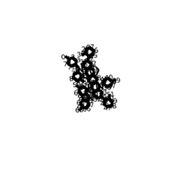 Cc1ccc(N2c3cccc(C)c3B3c4cc5c(cc4Oc4cc(-c6ccccc6C)cc2c43)N(c2ccc(C)cc2)c2cc(-c3ccccc3C)cc3c2B5c2cc(C)cc4c5cc(C)ccc5n-3c24)cc1